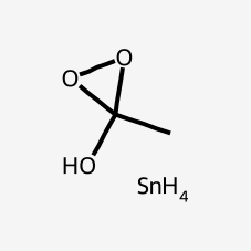 CC1(O)OO1.[SnH4]